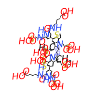 CC1(CCCS(=O)(=O)O)C(/C=C/C=C2/N(CCCS(=O)(=O)O)c3c(cc(-c4cc(C(=O)NCCCCCC(=O)O)nc(C(=O)NCCS(=O)(=O)O)c4)c4sccc34)C2(C)CCCS(=O)(=O)O)=[N+](CCCS(=O)(=O)O)c2c1cc(-c1cc(C(=O)NCCCCCC(=O)O)nc(C(=O)NCS(=O)(=O)O)c1)c1sccc21